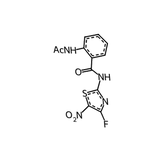 CC(=O)Nc1ccccc1C(=O)Nc1nc(F)c([N+](=O)[O-])s1